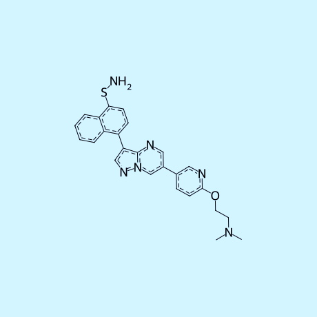 CN(C)CCOc1ccc(-c2cnc3c(-c4ccc(SN)c5ccccc45)cnn3c2)cn1